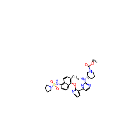 Cc1ccc2c(NS(=O)(=O)N3CCCC3)cccc2c1Oc1ncccc1-c1ccnc(N[C@H]2CCCN(C(=O)OC(C)(C)C)C2)n1